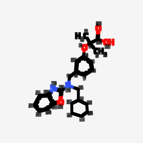 CC(C)(Oc1cccc(CN(CC2CCCCC2)c2nc3ccccc3o2)c1)C(=O)O